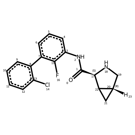 O=C(Nc1cccc(-c2ccccc2Cl)c1F)[C@H]1NC[C@@H]2CC21